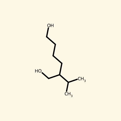 CC(C)C(CO)CCCCO